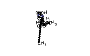 CCCCC/C=C\CC1/C(=C\C2OC2CCCC(=O)OC(COC(=O)CCCCCCCCCCCCCCC)COP(=O)(O)OCCNC)C(=O)CC1O